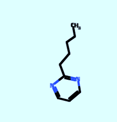 CCCCCc1ncccn1